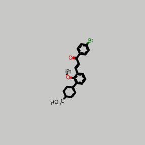 CC(C)Oc1c(C=CC(=O)c2ccc(Br)cc2)cccc1C1CCC(C(=O)O)CC1